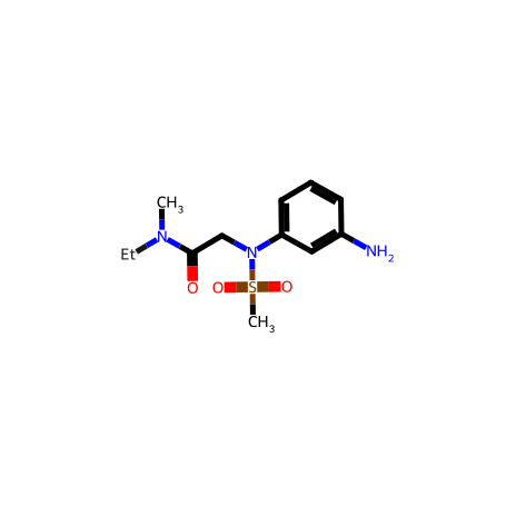 CCN(C)C(=O)CN(c1cccc(N)c1)S(C)(=O)=O